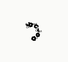 Cc1cc(NC2CCN(CC(=O)Nc3ccc(Oc4ccccc4)cc3)CC2)ccc1C(=O)O